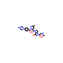 CC(=O)N(C)CC(=O)N1CC(=O)C2C1CCN2C(=O)C(CC(C)C)NC(=O)c1ccc(N2CCN(C)CC2)cc1